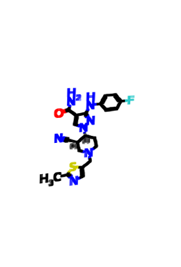 Cc1ncc(CN2CC[C@@H](n3cc(C(N)=O)c(Nc4ccc(F)cc4)n3)[C@H](C#N)C2)s1